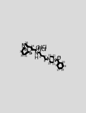 Cl.Cl.O=C(NCCCCN1CCN(C(=O)c2ccccc2)CC1)C1=Cc2cnc3cccc(n23)S1